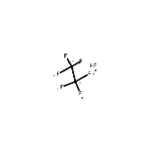 F.FC(F)(F)C(F)(F)F